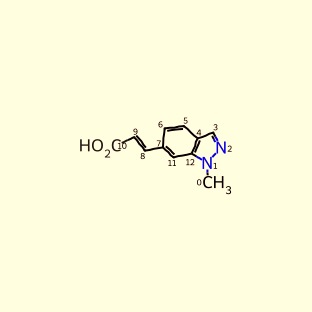 Cn1ncc2ccc(C=CC(=O)O)cc21